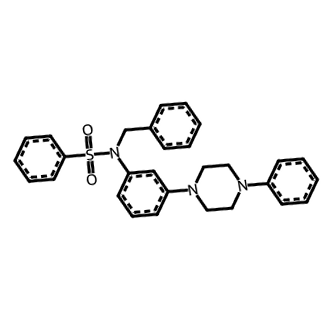 O=S(=O)(c1ccccc1)N(Cc1ccccc1)c1cccc(N2CCN(c3ccccc3)CC2)c1